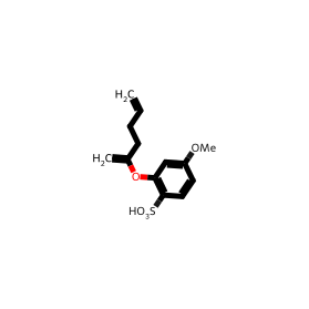 C=CCCC(=C)Oc1cc(OC)ccc1S(=O)(=O)O